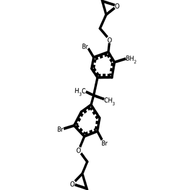 Bc1cc(C(C)(C)c2cc(Br)c(OCC3CO3)c(Br)c2)cc(Br)c1OCC1CO1